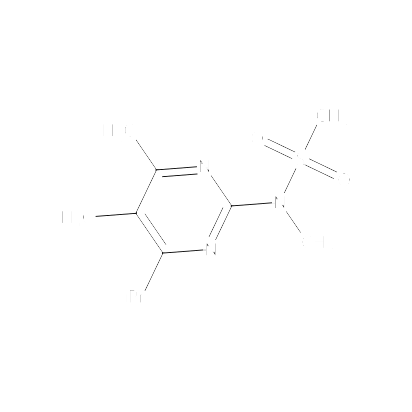 Cc1nc(N(C)S(C)(=O)=O)nc(C(C)C)c1C